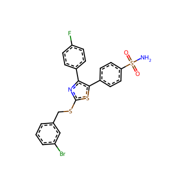 NS(=O)(=O)c1ccc(-c2sc(SCc3cccc(Br)c3)nc2-c2ccc(F)cc2)cc1